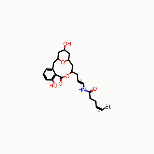 CC/C=C\CCC(=O)N/C=C/CC1CC2CC(O)CC(Cc3cccc(O)c3C(=O)O1)O2